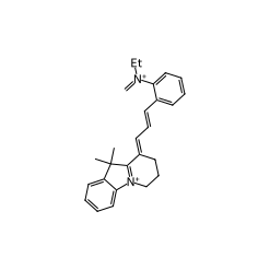 C=[N+](CC)c1ccccc1/C=C/C=C1\CCC[N+]2=C1C(C)(C)c1ccccc12